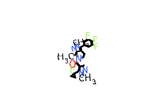 C[C@H]1c2nn(C)c(-c3cc(F)c(F)c(F)c3)c2CCN1C(=O)c1cnn(C)c1C1(F)CC1